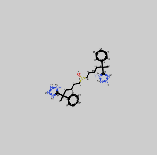 CC(CCCC[S+]([O-])CCCCC(C)(c1ccccc1)c1nnn[nH]1)(c1ccccc1)c1nnn[nH]1